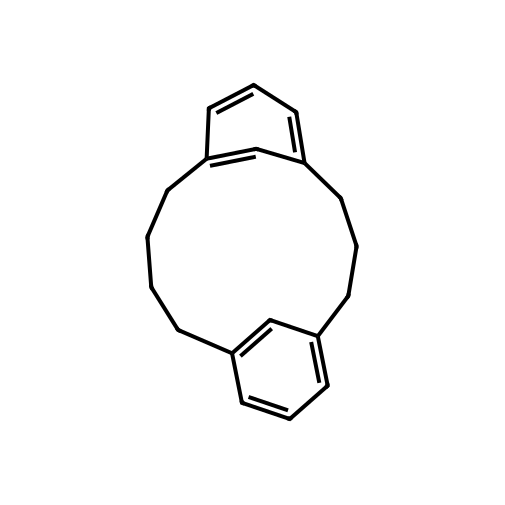 c1cc2cc(c1)CCCc1cccc(c1)CCCC2